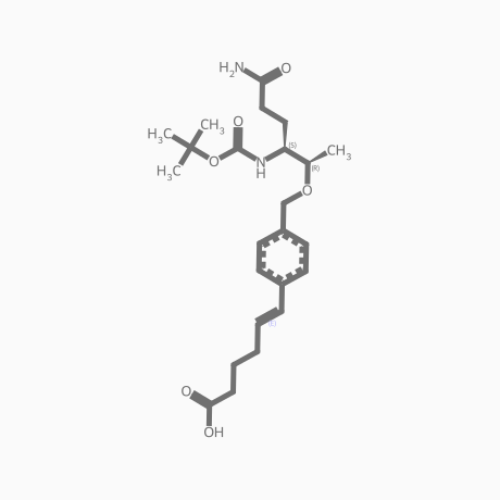 C[C@@H](OCc1ccc(/C=C/CCCC(=O)O)cc1)[C@H](CCC(N)=O)NC(=O)OC(C)(C)C